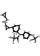 O=C(N(c1ccc(OC(F)(F)F)cc1)c1cccc(C2CC2NCC2CC2)c1)C(F)(F)F